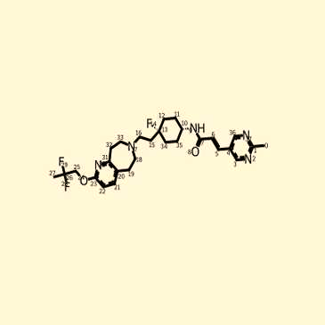 Cc1ncc(/C=C/C(=O)N[C@H]2CC[C@](F)(CCN3CCc4ccc(OCC(C)(F)F)nc4CC3)CC2)cn1